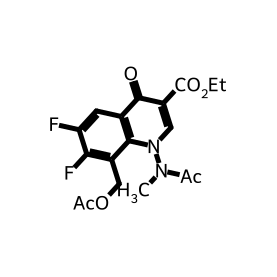 CCOC(=O)c1cn(N(C)C(C)=O)c2c(COC(C)=O)c(F)c(F)cc2c1=O